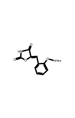 CCCCCCOc1ccccc1C=C1OC(=O)NC1=O